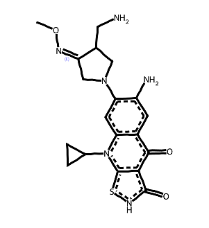 CO/N=C1/CN(c2cc3c(cc2N)c(=O)c2c(=O)[nH]sc2n3C2CC2)CC1CN